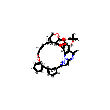 Cc1nc2cc3nn2c(c1[C@H](OC(C)(C)C)C(=O)O)-c1ccc2c(c1)[C@H](CC=CCOc1ccccc1-c1cccc-3c1)CCO2